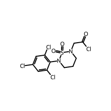 O=C(Cl)CN1CCCN(c2c(Cl)cc(Cl)cc2Cl)S1(=O)=O